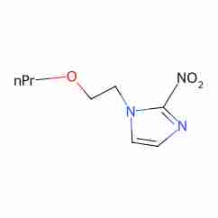 CCCOCCn1ccnc1[N+](=O)[O-]